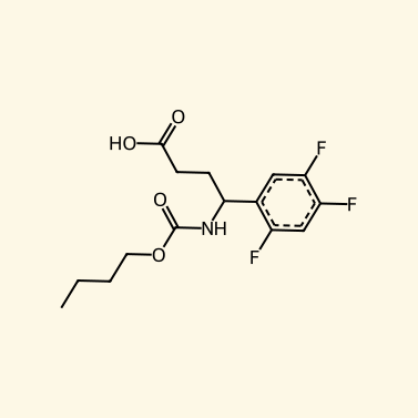 CCCCOC(=O)NC(CCC(=O)O)c1cc(F)c(F)cc1F